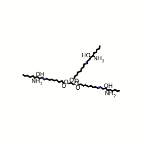 CCCCCC(N)C(O)C/C=C/CCCCCCCC(=O)OCC(COC(=O)CCCCCCC/C=C/CC(O)C(N)CCCCC)OC(=O)CCCCCCC/C=C/CC(O)C(N)CCCCC